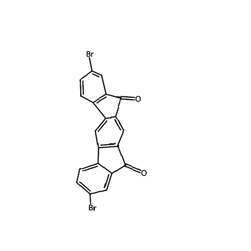 O=c1c2cc(Br)ccc2c2cc3c(cc12)c(=O)c1cc(Br)ccc13